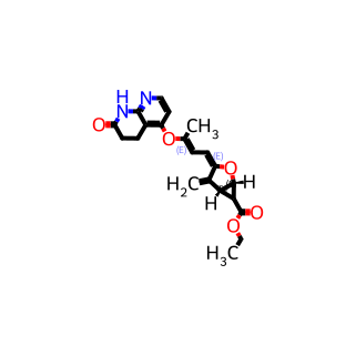 C=C1/C(=C\C=C(/C)Oc2ccnc3c2CCC(=O)N3)O[C@@H]2C(C(=O)OCC)[C@H]12